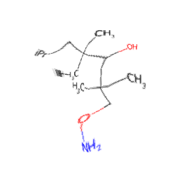 CC(C)CC(C)(C)C(O)C(C)(C)CON